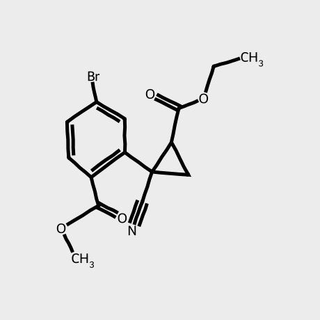 CCOC(=O)C1CC1(C#N)c1cc(Br)ccc1C(=O)OC